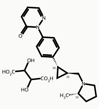 C[C@H]1CCCN1C[C@H]1C[C@@H]1c1ccc(-n2ncccc2=O)cc1.O=C(O)C(O)C(O)C(=O)O